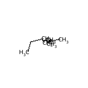 CCCCCCCC/C=C\CCCCCCCCC(C)CC(C)CC(C)CC(C)C(=O)OCCCCCCCC